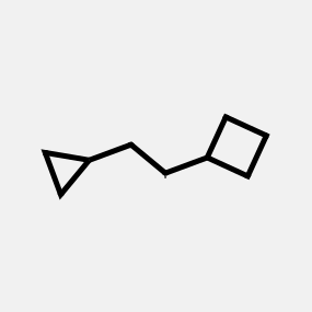 [CH](CC1CC1)C1CCC1